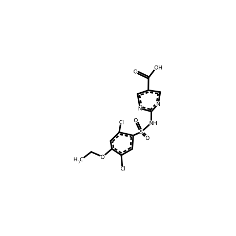 CCOc1cc(Cl)c(S(=O)(=O)Nc2ncc(C(=O)O)cn2)cc1Cl